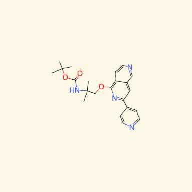 CC(C)(COc1nc(-c2ccncc2)cc2cnccc12)NC(=O)OC(C)(C)C